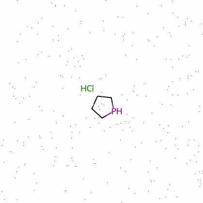 C1CCPC1.Cl